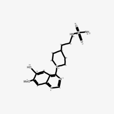 COc1cc2ncnc(N3CCC(CCNS(N)(=O)=O)CC3)c2cc1O